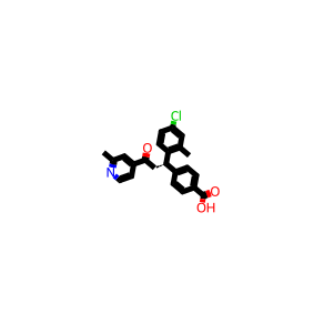 Cc1cc(C(=O)C[C@@H](c2ccc(C(=O)O)cc2)c2ccc(Cl)cc2C)ccn1